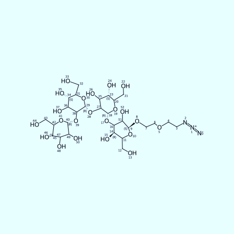 [N-]=[N+]=NCCOCCO[C@H]1OC(CO)[C@@H](O)C(O[C@H]2OC(CO)[C@@H](O)C(O)C2O[C@H]2OC(CO)[C@@H](O)C(O)C2O[C@H]2OC(CO)[C@@H](O)C(O)C2O)C1O